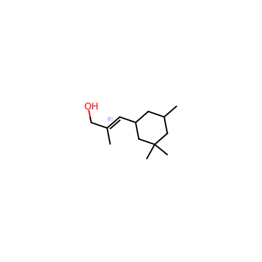 C/C(=C\C1CC(C)CC(C)(C)C1)CO